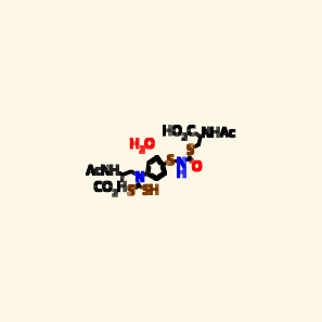 CC(=O)NC(CSC(=O)NSc1ccc(N(CC(NC(C)=O)C(=O)O)C(=S)S)cc1)C(=O)O.O